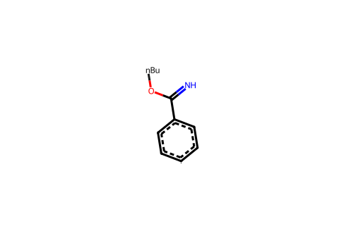 CCCCOC(=N)c1cc[c]cc1